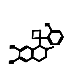 CN1CCc2cc(O)c(O)cc2C1C1(c2ccccc2C#N)CCC1